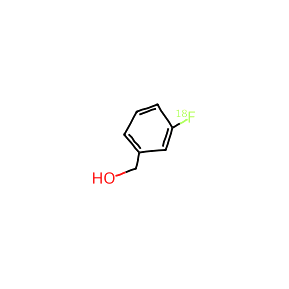 OCc1cccc([18F])c1